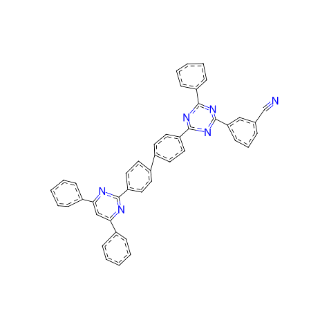 N#Cc1cccc(-c2nc(-c3ccccc3)nc(-c3ccc(-c4ccc(-c5nc(-c6ccccc6)cc(-c6ccccc6)n5)cc4)cc3)n2)c1